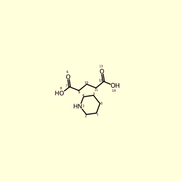 C1CCNCC1.O=C(O)CCCC(=O)O